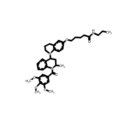 CCCNC(=O)CCCCOc1ccc2c(c1)CCCN2C1CC(C)N(C(=O)c2cc(OC)c(OC)c(OC)c2)c2ccccc21